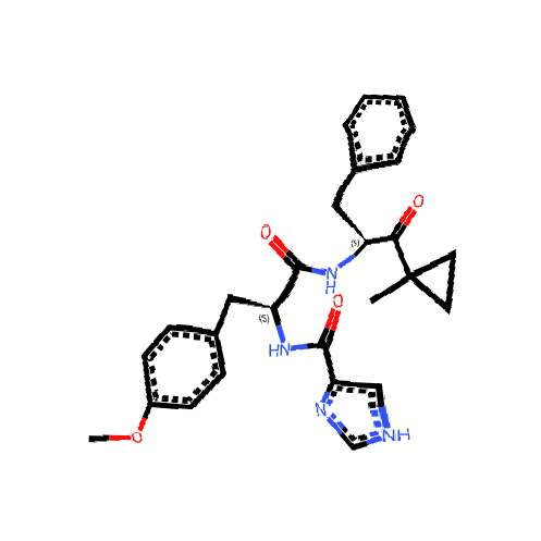 COc1ccc(C[C@H](NC(=O)c2c[nH]cn2)C(=O)N[C@@H](Cc2ccccc2)C(=O)C2(C)CC2)cc1